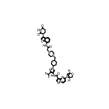 O=C1CC[C@@H](c2coc3c(NC(=O)CN4CCN(CC5CCC(n6cc(NC(=O)c7cnn8ccc(N9C[C@H]%10C[C@@H]9CO%10)nc78)c(C(F)F)n6)CC5)CC4)cccc23)C(=O)N1